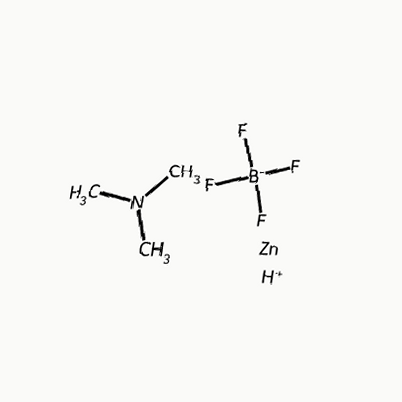 CN(C)C.F[B-](F)(F)F.[H+].[Zn]